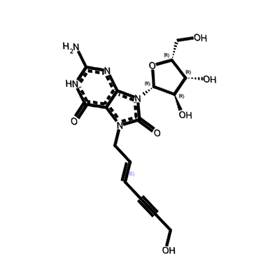 Nc1nc2c(c(=O)[nH]1)n(C/C=C/C#CCO)c(=O)n2[C@@H]1O[C@H](CO)[C@H](O)[C@H]1O